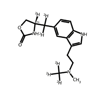 [2H]C([2H])([2H])N(C)CCc1c[nH]c2ccc(C([2H])([2H])[C@@]3([2H])COC(=O)N3)cc12